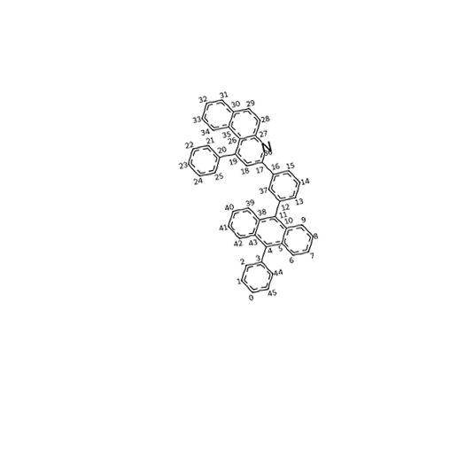 c1ccc(-c2c3ccccc3c(-c3cccc(-c4cc(-c5ccccc5)c5c(ccc6ccccc65)n4)c3)c3ccccc23)cc1